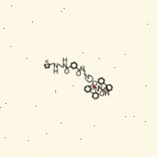 CN(CCN1CCC(OC(=O)N(c2ccccc2-c2ccccc2)N(C(=O)O)c2ccccc2-c2ccccc2)CC1)C(=O)c1cccc(C(=O)NCCNCc2cccs2)c1